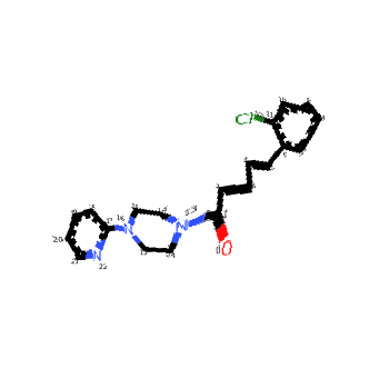 O=C(C=CC=Cc1ccccc1Cl)N1CCN(c2ccccn2)CC1